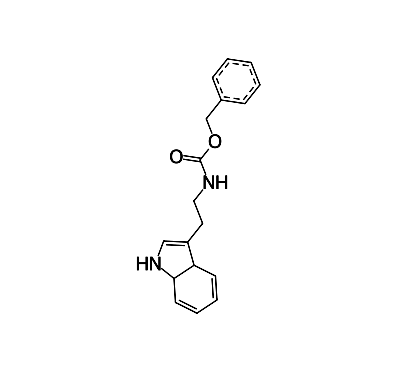 O=C(NCCC1=CNC2C=CC=CC12)OCc1ccccc1